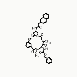 CN1C[C@H](NC(=O)OCc2ccccc2)C(=O)N(C)CC(=O)N2C[C@@H](NC(=O)Cc3ccc4ccccc4c3)C[C@H]2COc2cncc(c2)C1=O